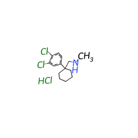 CNCC1(c2ccc(Cl)c(Cl)c2)CCCCC1.Cl